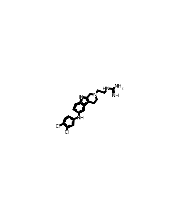 N=C(N)NCCN1CCc2c([nH]c3ccc(Nc4ccc(Cl)c(Cl)c4)cc23)C1